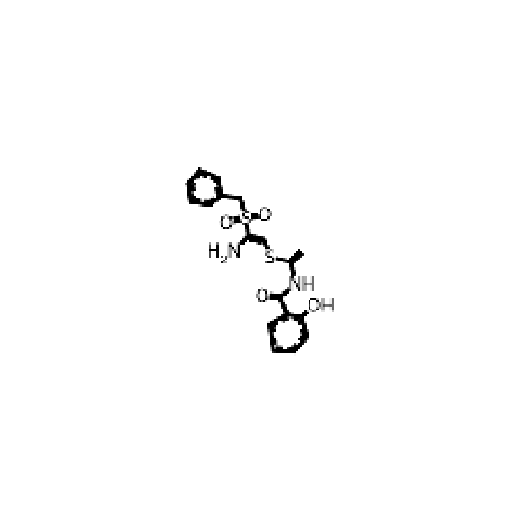 C=C(NC(=O)c1ccccc1O)S/C=C(\N)S(=O)(=O)Cc1ccccc1